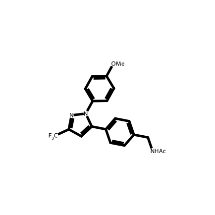 [CH2]C(=O)NCc1ccc(-c2cc(C(F)(F)F)nn2-c2ccc(OC)cc2)cc1